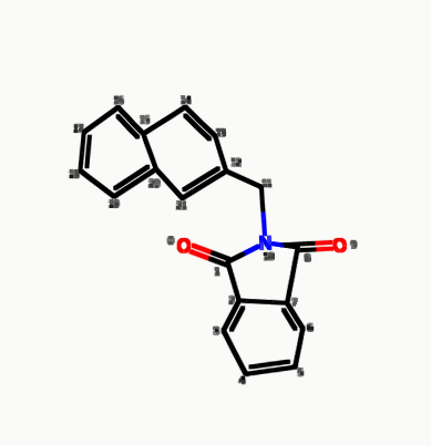 O=C1c2ccccc2C(=O)N1Cc1ccc2ccccc2c1